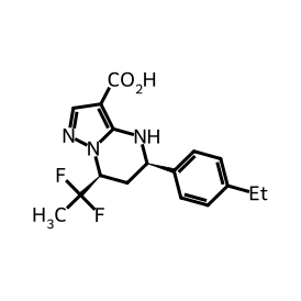 CCc1ccc([C@H]2C[C@@H](C(C)(F)F)n3ncc(C(=O)O)c3N2)cc1